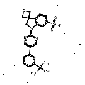 CCS(=O)(=O)c1ccc2c(c1)N(c1ncc(-c3cccc(C(C)(C)O)c3)cn1)CC21COC1